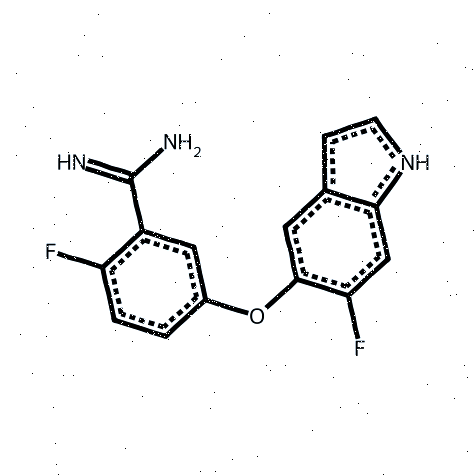 N=C(N)c1cc(Oc2cc3cc[nH]c3cc2F)ccc1F